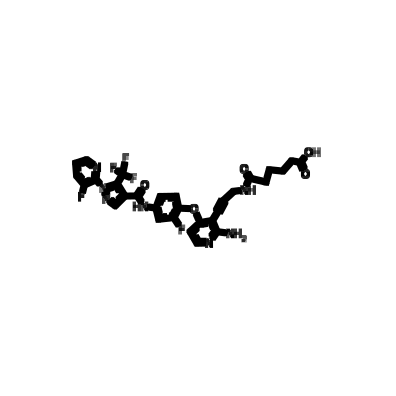 Nc1nccc(Oc2ccc(NC(=O)c3cnn(-c4ncccc4F)c3C(F)(F)F)cc2F)c1C#CCNC(=O)CCCCC(=O)O